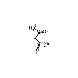 CC(=O)C[C](=O)[Na]